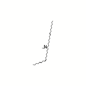 CCCC/C=C/C/C=C\CCCCCC[C@H](CCCCCC/C=C/CCCCCCC)N(C)CC